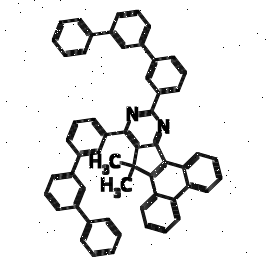 CC1(C)c2c(-c3cccc(-c4cccc(-c5ccccc5)c4)c3)nc(-c3cccc(-c4cccc(-c5ccccc5)c4)c3)nc2-c2c1c1ccccc1c1ccccc21